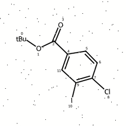 CC(C)(C)OC(=O)c1ccc(Cl)c(I)c1